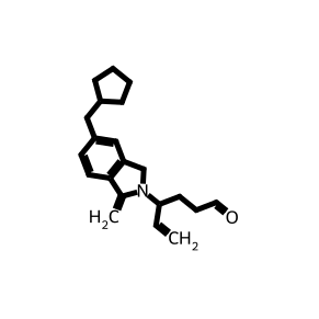 C=CC(CCC=O)N1Cc2cc(CC3CCCC3)ccc2C1=C